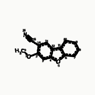 COc1cc2oc3ccccc3c2cc1C#N